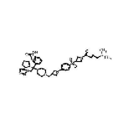 CN(C)C/C=C/C(=O)N1CC(S(=O)(=O)c2ccc(N3CC(CN4CCC(C(Cn5ccnn5)(c5cccc(F)c5)[C@H]5CCC[C@@H]5NC(=O)O)CC4)C3)cc2)C1